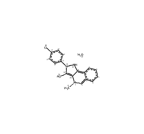 CN1C=c2ccccc2=C2NN(c3ccc(Cl)nc3)C(O)=C21.O